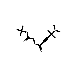 CN(C)C(C)(C)C#CC(=O)SCC(=O)OC(C)(C)C